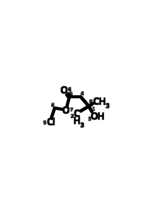 CC(C)(O)CC(=O)OCCl